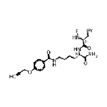 C#CCOc1ccc(C(=O)NCCCC[C@H](NC(=O)[C@H](CC(C)C)NF)C(N)=O)cc1